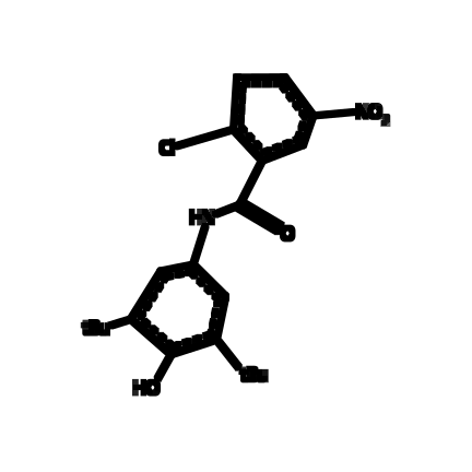 CC(C)(C)c1cc(NC(=O)c2cc([N+](=O)[O-])ccc2Cl)cc(C(C)(C)C)c1O